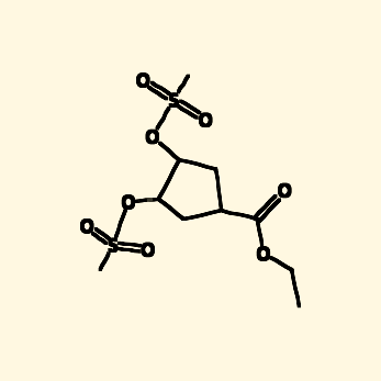 CCOC(=O)C1CC(OS(C)(=O)=O)C(OS(C)(=O)=O)C1